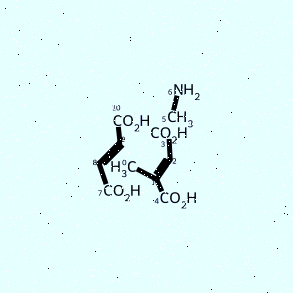 C/C(=C\C(=O)O)C(=O)O.CN.O=C(O)/C=C/C(=O)O